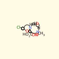 CN1CC[C@H]2CCO[C@@H](C2)[C@@H]2CC[C@H]2CN2CCCCc3cc(Cl)ccc3COc3ccc(cc32)[C@@](O)(C(=O)O)CC1=O